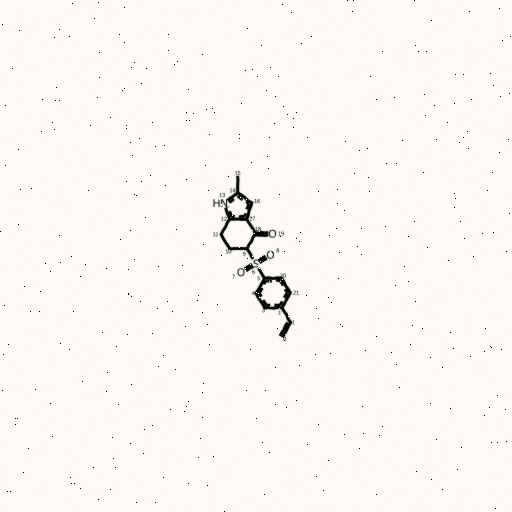 C=Cc1ccc(S(=O)(=O)C2CCc3[nH]c(C)cc3C2=O)cc1